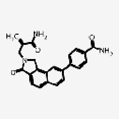 C=C(CN1Cc2c(ccc3ccc(-c4ccc(C(N)=O)cc4)cc23)C1=O)C(N)=O